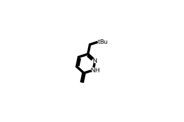 C=C1C=CC(CC(C)(C)C)=NN1